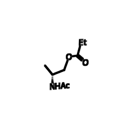 CCC(=O)OC[C@@H](C)NC(C)=O